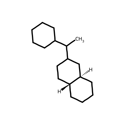 CC(C1CCCCC1)C1CC[C@H]2CCCC[C@@H]2C1